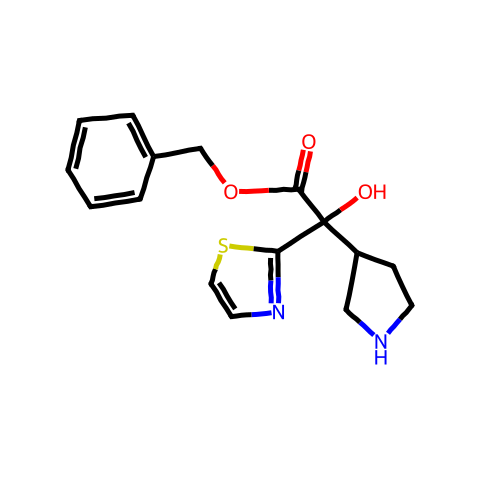 O=C(OCc1ccccc1)C(O)(c1nccs1)C1CCNC1